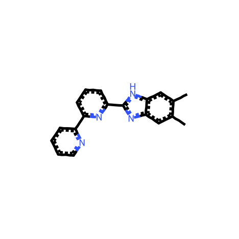 Cc1cc2nc(-c3cccc(-c4ccccn4)n3)[nH]c2cc1C